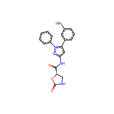 CCCCc1cccc(-c2cc(NC(=O)[C@H]3CNC(=O)O3)nn2-c2ccccc2)c1